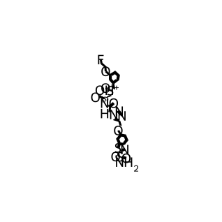 NS(=O)(=O)c1nc2ccc(OCc3cn(CC(=O)N[C@H](C[S+]([O-])Cc4cccc(OCCF)c4)C(=O)O)nn3)cc2s1